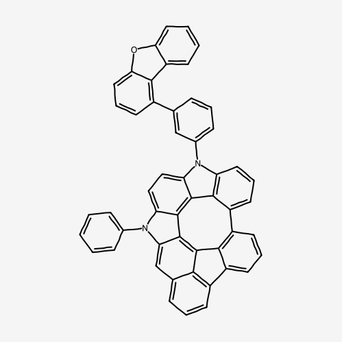 c1ccc(-n2c3cc4cccc5c4c4c6c-5cccc6c5cccc6c5c5c(c43)c2ccc5n6-c2cccc(-c3cccc4oc5ccccc5c34)c2)cc1